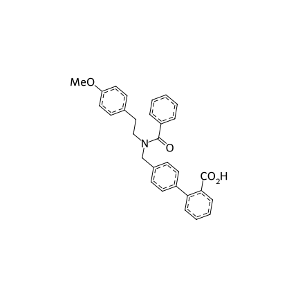 COc1ccc(CCN(Cc2ccc(-c3ccccc3C(=O)O)cc2)C(=O)c2ccccc2)cc1